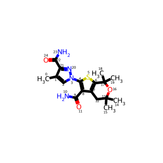 Cc1cn(-c2sc3c(c2C(N)=O)CC(C)(C)OC3(C)C)nc1C(N)=O